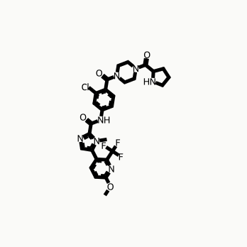 COc1ccc(-c2cnc(C(=O)Nc3ccc(C(=O)N4CCN(C(=O)C5CCCN5)CC4)c(Cl)c3)n2C)c(C(F)(F)F)n1